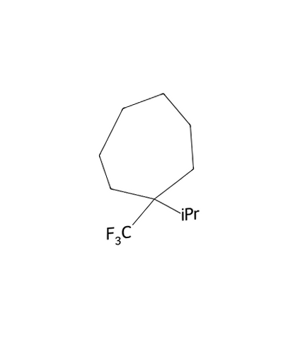 CC(C)C1(C(F)(F)F)CCCCCC1